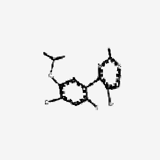 Cc1ncc(Br)c(-c2cc(OC(C)C)c(Cl)cc2F)n1